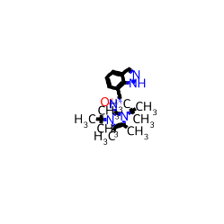 CC1=C(C)N(C(C)(C)C)C(/[N+]([O-])=C/c2cccc3cn[nH]c23)N1C(C)(C)C